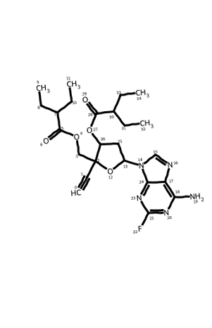 C#CC1(COC(=O)C(CC)CC)OC(n2cnc3c(N)nc(F)nc32)CC1OC(=O)C(CC)CC